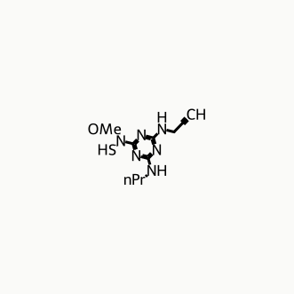 C#CCNc1nc(NCCC)nc(N(S)OC)n1